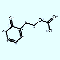 O=C(Cl)OCCC1=CC=CCC1=S